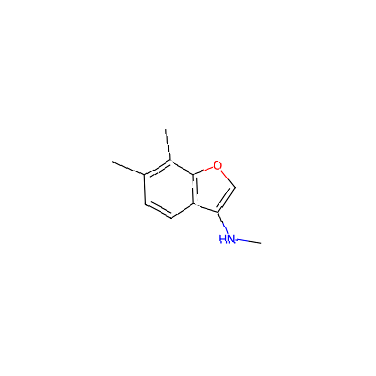 CNc1coc2c(C)c(C)ccc12